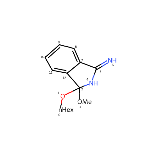 CCCCCCOC1(OC)NC(=N)c2ccccc21